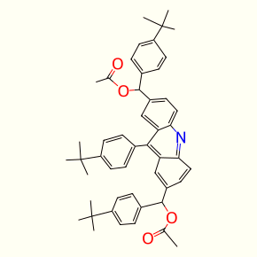 CC(=O)OC(c1ccc(C(C)(C)C)cc1)c1ccc2nc3ccc(C(OC(C)=O)c4ccc(C(C)(C)C)cc4)cc3c(-c3ccc(C(C)(C)C)cc3)c2c1